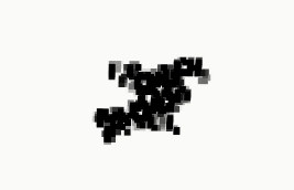 Cc1cc(-c2nn(-c3ccc(-n4cc(F)c(F)c4)cc3C)ccc2=O)n(-c2cccc(C(F)(F)F)c2)n1